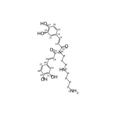 NCCCCNCCCN(C(=O)C=Cc1ccc(O)c(O)c1)C(=O)C=Cc1ccc(O)c(O)c1